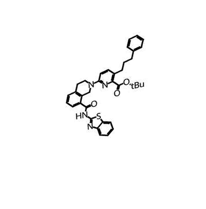 CC(C)(C)OC(=O)c1nc(N2CCc3cccc(C(=O)Nc4nc5ccccc5s4)c3C2)ccc1CCCc1ccccc1